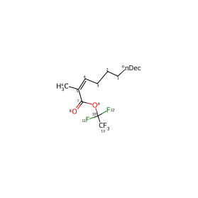 CCCCCCCCCCCCCC=C(C)C(=O)OC(F)(F)C(F)(F)F